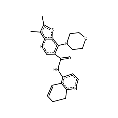 Cc1sc2c(N3CCOCC3)c(C(=O)Nc3ccnc4c3C=CCC4)cnc2c1C